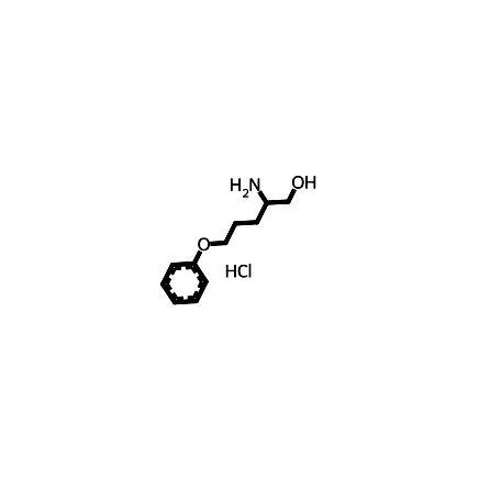 Cl.NC(CO)CCCOc1ccccc1